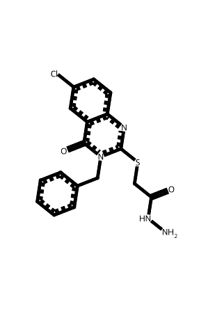 NNC(=O)CSc1nc2ccc(Cl)cc2c(=O)n1Cc1ccccc1